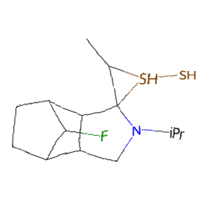 CC(C)N1CC2C3CCC(C3F)C2C12C(C)[SH]2S